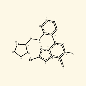 CCc1cc2c(=O)n(C)cc(-c3ccncc3OCC3CCCO3)c2o1